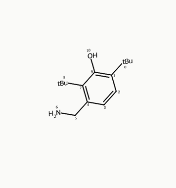 CC(C)(C)c1ccc(CN)c(C(C)(C)C)c1O